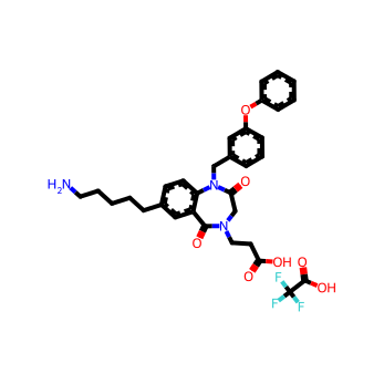 NCCCCCc1ccc2c(c1)C(=O)N(CCC(=O)O)CC(=O)N2Cc1cccc(Oc2ccccc2)c1.O=C(O)C(F)(F)F